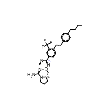 C=N/C(=N\OC[C@@H]1CCCN1C(=N)N)c1ccc(CCc2ccc(CCCC)cc2)c(C(F)(F)F)c1